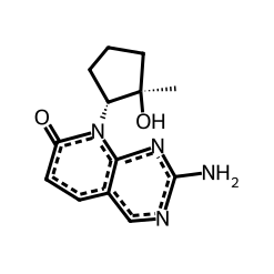 C[C@@]1(O)CCC[C@H]1n1c(=O)ccc2cnc(N)nc21